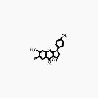 Cc1ccc(N2CC[C@@]3(O)C(=O)c4cc(F)c(C)cc4N=C23)cc1